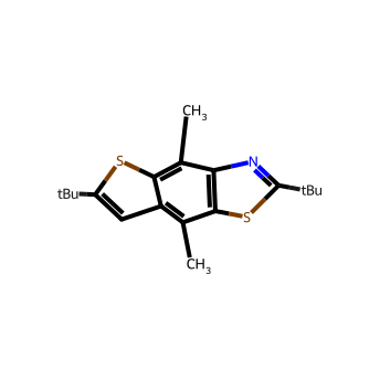 Cc1c2nc(C(C)(C)C)sc2c(C)c2cc(C(C)(C)C)sc12